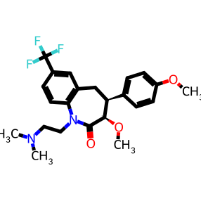 COc1ccc([C@@H]2Cc3cc(C(F)(F)F)ccc3N(CCN(C)C)C(=O)[C@@H]2OC)cc1